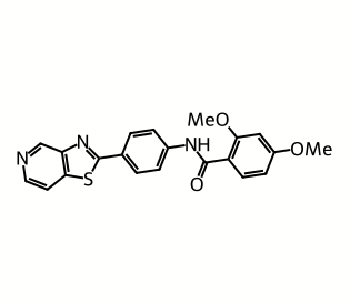 COc1ccc(C(=O)Nc2ccc(-c3nc4cnccc4s3)cc2)c(OC)c1